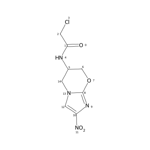 O=C(CCl)NC1COc2nc([N+](=O)[O-])cn2C1